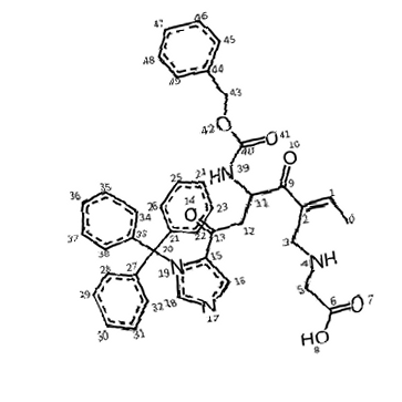 C/C=C(\CNCC(=O)O)C(=O)C(CC(=O)c1cncn1C(c1ccccc1)(c1ccccc1)c1ccccc1)NC(=O)OCc1ccccc1